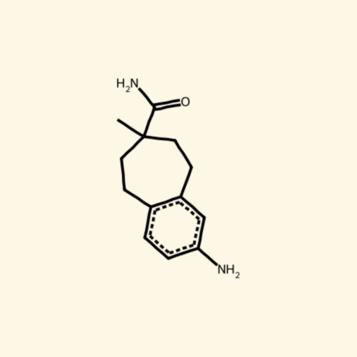 CC1(C(N)=O)CCc2ccc(N)cc2CC1